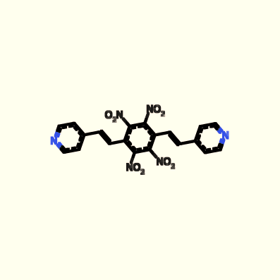 O=[N+]([O-])c1c(C=Cc2ccncc2)c([N+](=O)[O-])c([N+](=O)[O-])c(/C=C/c2ccncc2)c1[N+](=O)[O-]